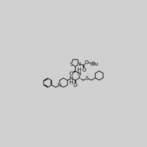 CC(C)(C)OC(=O)N1CCSC1C(=O)N[C@@H](CSCC1CCCCC1)C(=O)NC1CCN(Cc2ccccc2)CC1